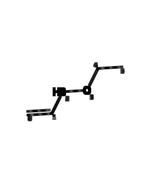 C=CBOCC